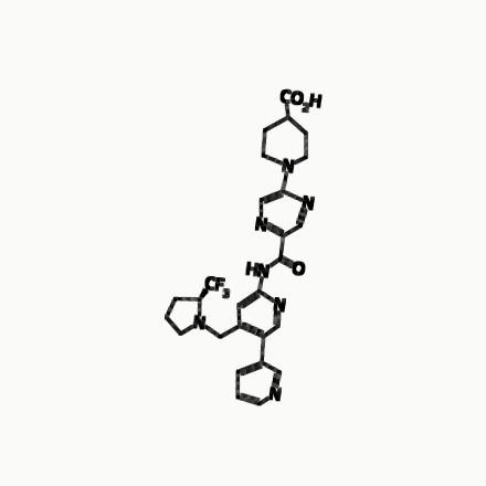 O=C(Nc1cc(CN2CCC[C@H]2C(F)(F)F)c(-c2cccnc2)cn1)c1cnc(N2CCC(C(=O)O)CC2)cn1